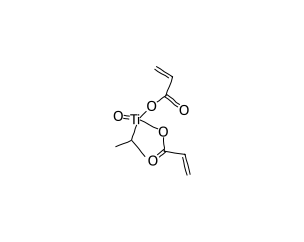 C=CC(=O)[O][Ti](=[O])([O]C(=O)C=C)[CH](C)C